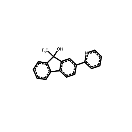 OC1(C(F)(F)F)c2ccccc2-c2ccc(-c3ccccn3)cc21